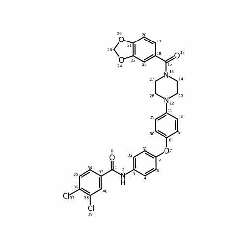 O=C(Nc1ccc(Oc2ccc(N3CCN(C(=O)c4ccc5c(c4)OCO5)CC3)cc2)cc1)c1ccc(Cl)c(Cl)c1